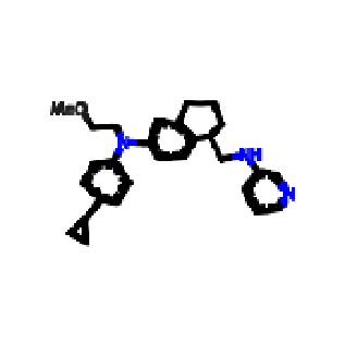 COCCN(c1ccc(C2CC2)cc1)c1ccc2c(c1)CCC[C@H]2CNc1cccnc1